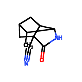 CC1C2CC3C1NC(=O)C3(C#N)C2